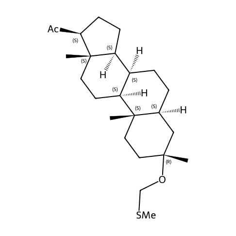 CSCO[C@]1(C)CC[C@@]2(C)[C@@H](CC[C@H]3[C@@H]2CC[C@]2(C)[C@@H](C(C)=O)CC[C@@H]32)C1